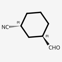 N#C[C@@H]1CCC[C@@H](C=O)C1